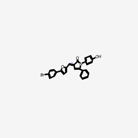 O=C1/C(=C/c2ccc(-c3ccc(Br)cc3)o2)C=C(c2ccccc2)N1c1ccc(O)cc1